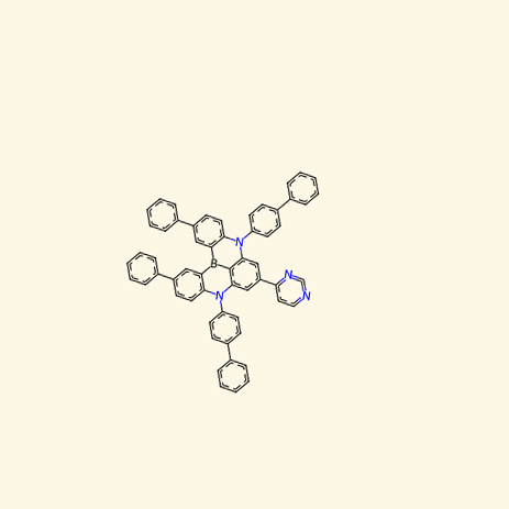 c1ccc(-c2ccc(N3c4ccc(-c5ccccc5)cc4B4c5cc(-c6ccccc6)ccc5N(c5ccc(-c6ccccc6)cc5)c5cc(-c6ccncn6)cc3c54)cc2)cc1